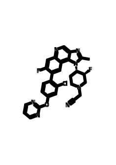 Cc1nc2cnc3cc(F)c(-c4ccc(Oc5ncccn5)cc4Cl)cc3c2n1[C@H]1CCN(CC#N)C[C@@H]1F